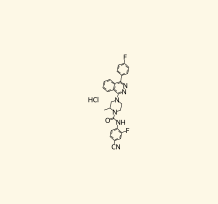 CC1CN(c2nnc(-c3ccc(F)cc3)c3ccccc23)CCN1C(=O)Nc1ccc(C#N)cc1F.Cl